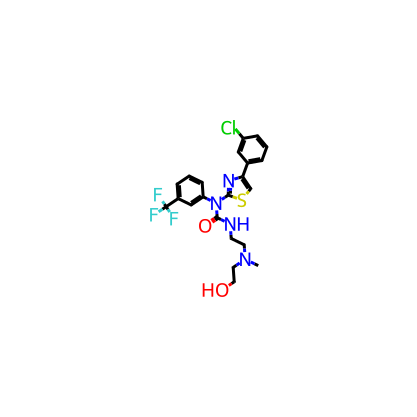 CN(CCO)CCNC(=O)N(c1cccc(C(F)(F)F)c1)c1nc(-c2cccc(Cl)c2)cs1